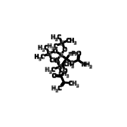 C=C(C)C(=O)OCC(CCC)(OC(N)=O)[Si](O[Si](C)(C)C)(O[Si](C)(C)C)O[Si](C)(C)C